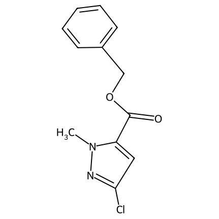 Cn1nc(Cl)cc1C(=O)OCc1ccccc1